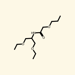 CCCOCC(=O)NC(COCC)COCC